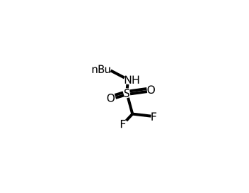 CCCCNS(=O)(=O)C(F)F